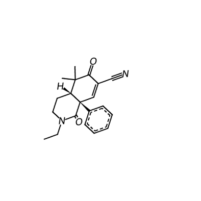 CCN1CC[C@@H]2C(C)(C)C(=O)C(C#N)=C[C@]2(c2ccccc2)C1=O